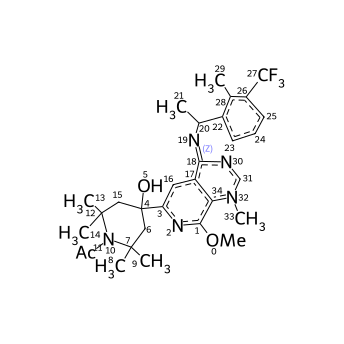 COc1nc(C2(O)CC(C)(C)N(C(C)=O)C(C)(C)C2)cc2/c(=N/C(C)c3cccc(C(F)(F)F)c3C)ncn(C)c12